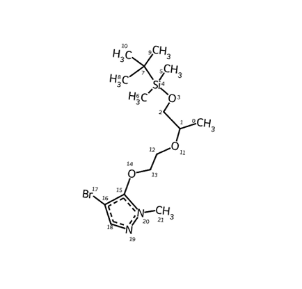 CC(CO[Si](C)(C)C(C)(C)C)OCCOc1c(Br)cnn1C